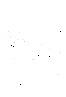 CCCN(C(=O)OCc1ccccc1F)C1CCN(CC2CC(N[C@H](CC(C)C)C(=O)O)CC2c2ccccc2)CC1